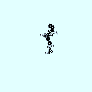 CN(CC(O)CNC(C)(C)Cc1ccc2ccccc2c1)S(=O)(=O)c1ccc(-c2ccc(NC(=O)CCC(=O)O)cc2)cc1